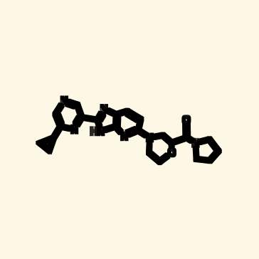 O=C(C1CN(c2ccc3nc(-c4cncc(C5CC5)n4)[nH]c3n2)CCO1)N1CCCC1